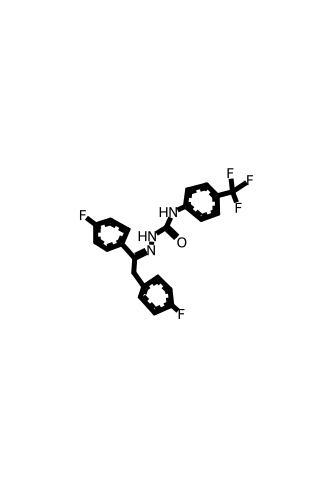 O=C(NN=C(Cc1ccc(F)cc1)c1ccc(F)cc1)Nc1ccc(C(F)(F)F)cc1